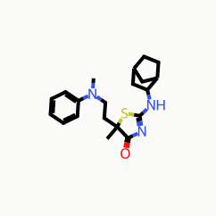 CN(CCC1(C)SC(NC2CC3CCC2C3)=NC1=O)c1ccccc1